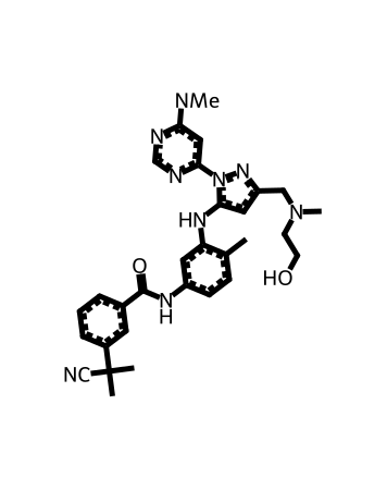 CNc1cc(-n2nc(CN(C)CCO)cc2Nc2cc(NC(=O)c3cccc(C(C)(C)C#N)c3)ccc2C)ncn1